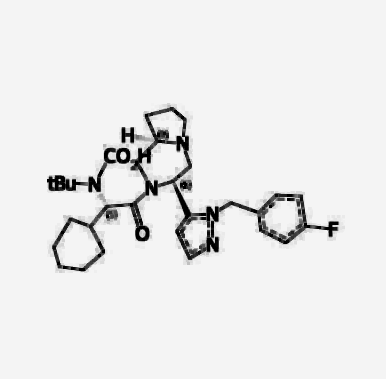 CC(C)(C)N(C(=O)O)[C@H](C(=O)N1C[C@H]2CCCN2C[C@H]1c1ccnn1Cc1ccc(F)cc1)C1CCCCC1